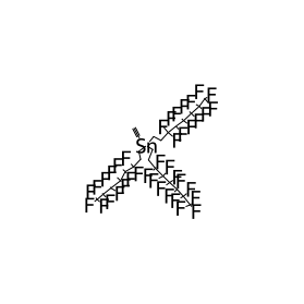 C#[C][Sn]([CH2]CC(F)(F)C(F)(F)C(F)(F)C(F)(F)C(F)(F)C(F)(F)F)([CH2]CC(F)(F)C(F)(F)C(F)(F)C(F)(F)C(F)(F)C(F)(F)F)[CH2]CC(F)(F)C(F)(F)C(F)(F)C(F)(F)C(F)(F)C(F)(F)F